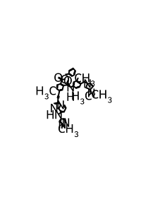 Cc1cc(C(=O)OCc2ccccc2)c(C(=O)Nc2ccc(CN3CCC(N(C)C)C3)c(C)c2)cc1C#Cc1cnc2c(Nc3cnn(C)c3)cccn12